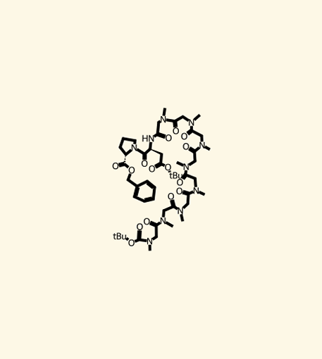 CN(CC(=O)N[C@@H](CC(=O)OC(C)(C)C)C(=O)N1CCC[C@H]1C(=O)OCc1ccccc1)C(=O)CN(C)C(=O)CN(C)C(=O)CN(C)C(=O)CN(C)C(=O)CN(C)C(=O)CN(C)C(=O)CN(C)C(=O)OC(C)(C)C